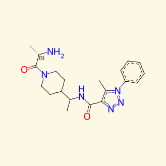 Cc1c(C(=O)NC(C)C2CCN(C(=O)[C@H](C)N)CC2)nnn1-c1ccccc1